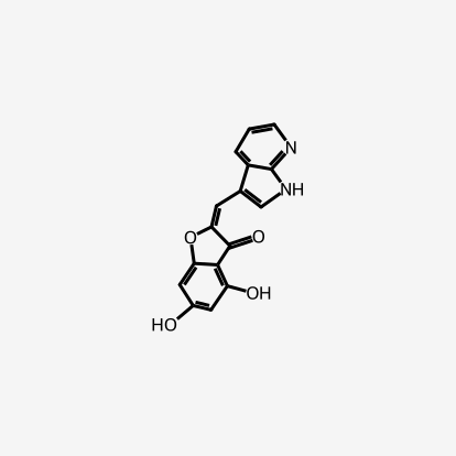 O=C1C(=Cc2c[nH]c3ncccc23)Oc2cc(O)cc(O)c21